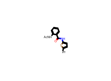 CC(=O)Nc1ccccc1C(=O)Nc1ccc(C(C)C)s1